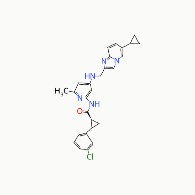 Cc1cc(NCc2cn3cc(C4CC4)ccc3n2)cc(NC(=O)[C@H]2CC2c2cccc(Cl)c2)n1